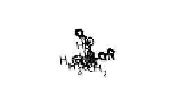 C=C(C)[C@@H](NC(=O)OC)C(=O)NN(CC(=O)CNC(=O)OCc1ccccc1)Cc1ccc(-c2ccccn2)cc1